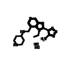 CCn1c(-c2nonc2N)nc2cncc(CNC3CCNCC3)c21.Cl.Cl